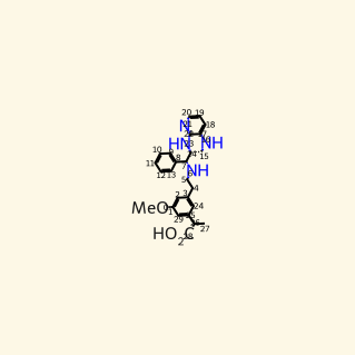 COc1cc(CCN[C@H](c2ccccc2)[C@H]2CNc3cccnc3N2)cc([C@@H](C)C(=O)O)c1